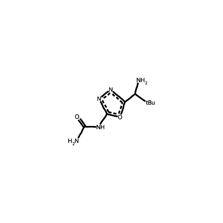 CC(C)(C)C(N)c1nnc(NC(N)=O)o1